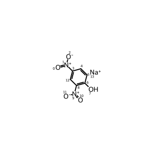 O=[N+]([O-])c1ccc(O)c([N+](=O)[O-])c1.[Na+]